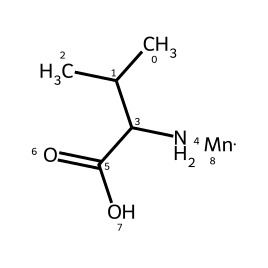 CC(C)C(N)C(=O)O.[Mn]